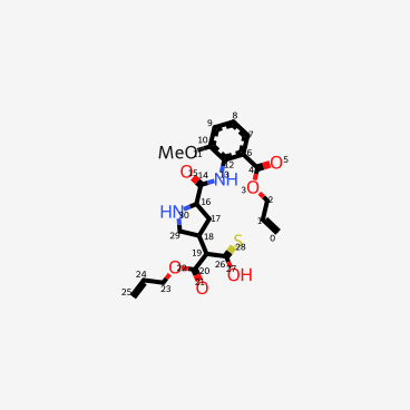 C=CCOC(=O)c1cccc(OC)c1NC(=O)C1CC(C(C(=O)OCC=C)C(O)=S)CN1